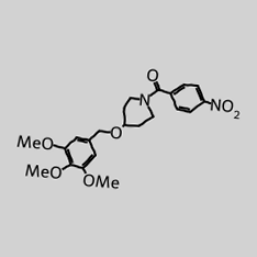 COc1cc(COC2CCN(C(=O)c3ccc([N+](=O)[O-])cc3)CC2)cc(OC)c1OC